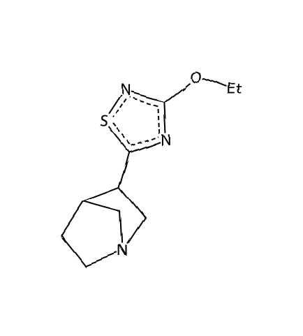 CCOc1nsc(C2CN3CCC2C3)n1